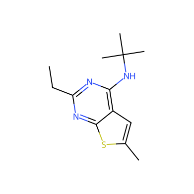 CCc1nc(NC(C)(C)C)c2cc(C)sc2n1